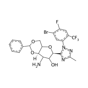 Cc1nc([C@@H]2OC3COC(c4ccccc4)O[C@@H]3C(N)C2O)n(-c2cc(Br)c(F)cc2C(F)(F)F)n1